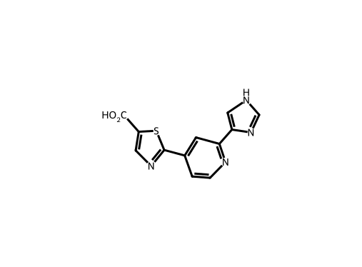 O=C(O)c1cnc(-c2ccnc(-c3c[nH]cn3)c2)s1